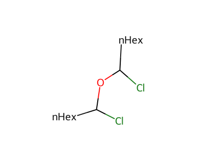 CCCCCCC(Cl)OC(Cl)CCCCCC